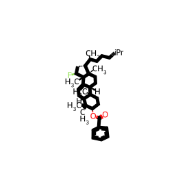 CC(C)CCC[C@@H](C)[C@H]1C[C@H](F)[C@@]2(C)C3=CC[C@H]4C(C)(C)[C@@H](OC(=O)c5ccccc5)CC[C@]4(C)[C@H]3CC[C@]12C